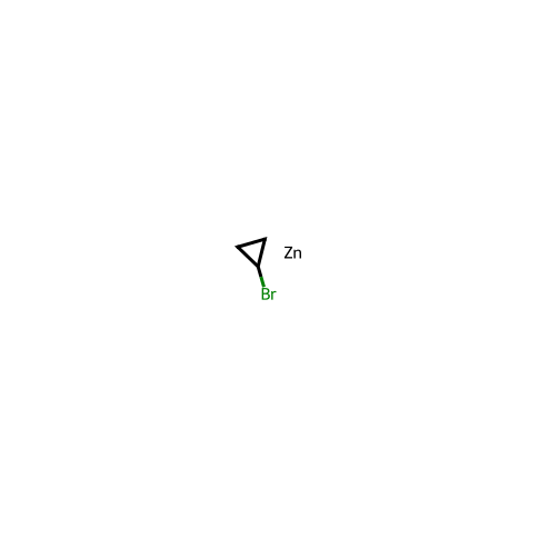 BrC1CC1.[Zn]